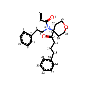 C=CC(=O)N(CCc1ccccc1)C1(C(=O)CCCc2ccccc2)CCOCC1